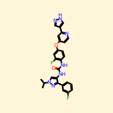 CC(C)n1cc(NC(=O)Nc2ccc(Oc3ccnc(-c4cn[nH]c4)c3)cc2F)c(-c2cccc(F)c2)n1